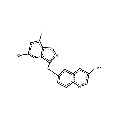 COc1cnc2ccc(Cc3nnc4c(F)cc(Cl)cn34)cc2c1